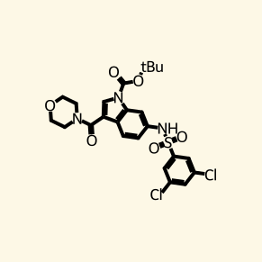 CC(C)(C)OC(=O)n1cc(C(=O)N2CCOCC2)c2ccc(NS(=O)(=O)c3cc(Cl)cc(Cl)c3)cc21